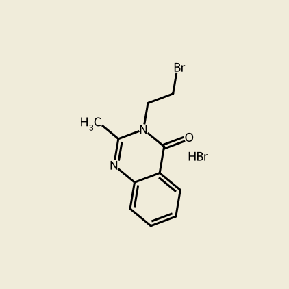 Br.Cc1nc2ccccc2c(=O)n1CCBr